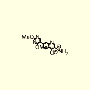 COc1ncc(-c2ccc3c(Cl)c(S(N)(=O)=O)cnc3c2)c(OC)n1